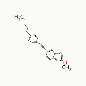 CCCCCc1ccc(C#Cc2ccc3cc(OC)ccc3c2)cc1